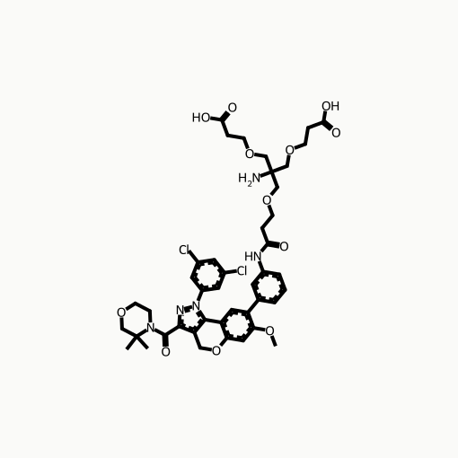 COc1cc2c(cc1-c1cccc(NC(=O)CCOCC(N)(COCCC(=O)O)COCCC(=O)O)c1)-c1c(c(C(=O)N3CCOCC3(C)C)nn1-c1cc(Cl)cc(Cl)c1)CO2